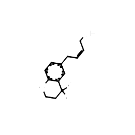 CC1(C)CCOc2ccc(C/C=C\CO)cc21